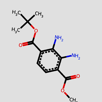 COC(=O)c1ccc(C(=O)OC(C)(C)C)c(N)c1N